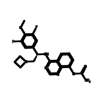 COc1c(F)cc([C@@H](CN2CCC2)Nc2ncnc3c(OC(N)=O)cccc23)cc1F